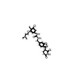 Cc1c(Cl)cc(NC(=O)NCc2ccc3c(C4CCC(=O)NC4=O)noc3c2)cc1OCCN(C)C